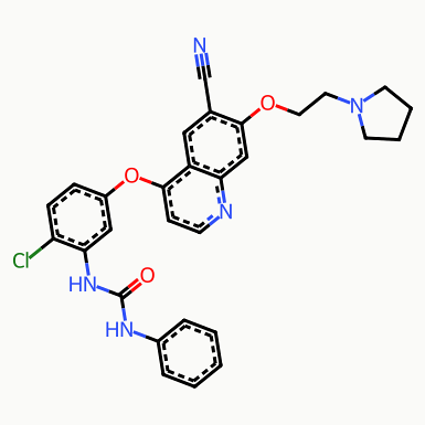 N#Cc1cc2c(Oc3ccc(Cl)c(NC(=O)Nc4ccccc4)c3)ccnc2cc1OCCN1CCCC1